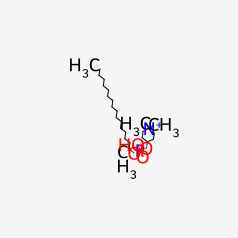 CCCCCCCCCCCCCCCCC(C)OP(=O)(O)OC1CC[N+](C)(C)CC1